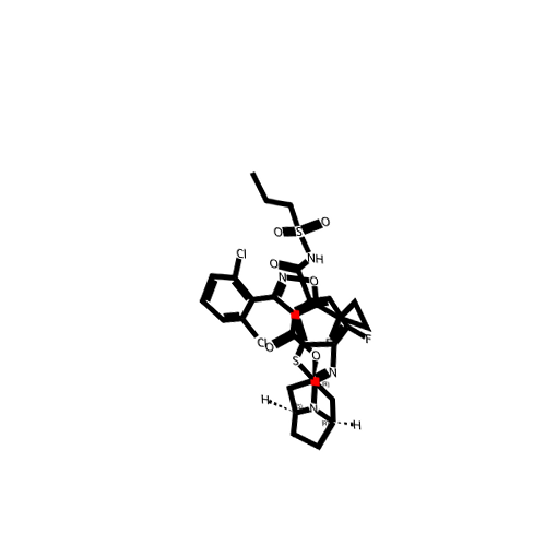 CCCS(=O)(=O)NC(=O)c1cc(F)c2nc(N3[C@@H]4CC[C@H]3C[C@@H](OC(=O)c3c(-c5c(Cl)cccc5Cl)noc3C3(F)CC3)C4)sc2c1